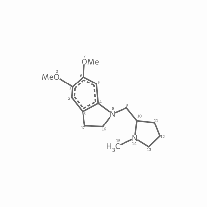 COc1cc2c(cc1OC)N(CC1CCCN1C)CC2